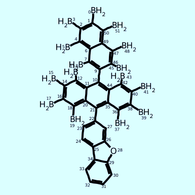 Bc1c(B)c(B)c2c(B)c(-c3c4c(B)c(B)c(B)c(B)c4c(-c4ccc5c(c4)oc4ccccc45)c4c(B)c(B)c(B)c(B)c34)c(B)c(B)c2c1B